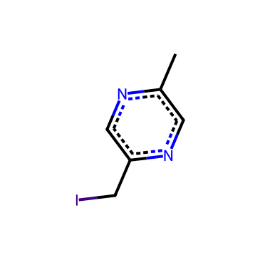 Cc1cnc(CI)cn1